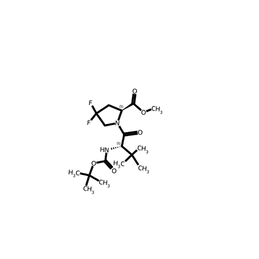 COC(=O)[C@@H]1CC(F)(F)CN1C(=O)[C@@H](NC(=O)OC(C)(C)C)C(C)(C)C